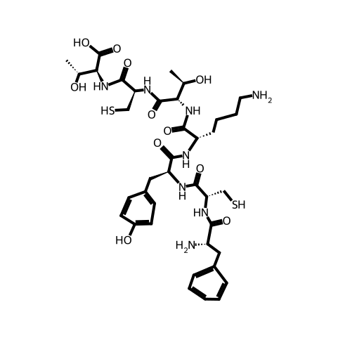 C[C@@H](O)[C@H](NC(=O)[C@H](CS)NC(=O)[C@@H](NC(=O)[C@H](CCCCN)NC(=O)[C@H](Cc1ccc(O)cc1)NC(=O)[C@H](CS)NC(=O)[C@@H](N)Cc1ccccc1)[C@@H](C)O)C(=O)O